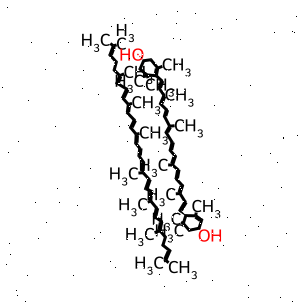 CC(C)=CCC/C(C)=C/C=C/C(C)=C/C=C/C(C)=C/C=C/C=C(C)/C=C/C=C(C)/C=C/C=C(\C)CCC=C(C)C.CC1=C[C@H](O)CC(C)(C)[C@H]1/C=C/C(C)=C/C=C/C(C)=C/C=C/C=C(C)/C=C/C=C(C)/C=C/C1=C(C)C[C@@H](O)CC1(C)C